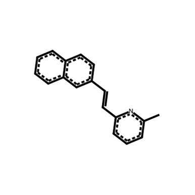 Cc1cccc(C=Cc2ccc3ccccc3c2)n1